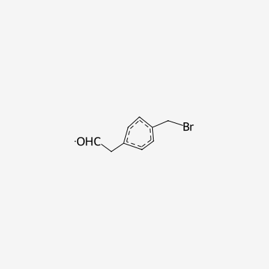 O=[C]Cc1ccc(CBr)cc1